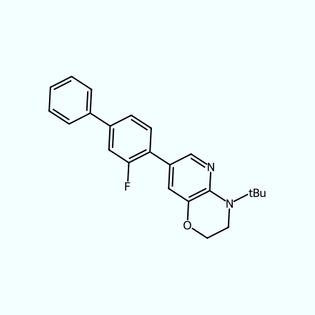 CC(C)(C)N1CCOc2cc(-c3ccc(-c4ccccc4)cc3F)cnc21